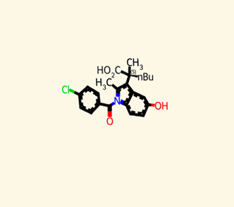 CCCC[C@](C)(C(=O)O)c1c(C)n(C(=O)c2ccc(Cl)cc2)c2ccc(O)cc12